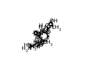 Cc1cc(O)cc(C)c1C[C@H](N)C(=O)N[C@@H]1CSCCSC(C)(C)[C@H](C(=O)N[C@@H](CCCNC(=N)N)C(N)=O)NC(=O)C2(Cc3ccccc3C2)NC1=O